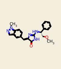 COC[C@H](NC1=N/C(=C\c2ccc3c(cnn3C)c2)C(=O)N1)c1ccccc1